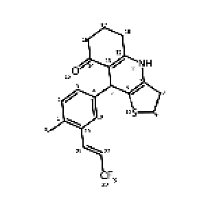 Cc1ccc(C2C3=C(CCS3)NC3=C2C(=O)CCC3)cc1C=CC(F)(F)F